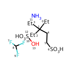 CCC(CC)(CC)CCS(=O)(=O)O.FC(F)F.N.O=S(=O)(O)O